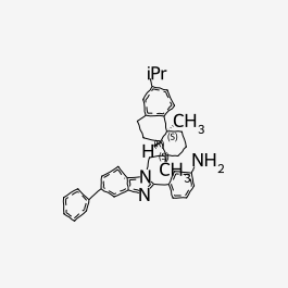 CC(C)c1ccc2c(c1)CC[C@H]1[C@@](C)(Cn3c(-c4cccc(N)c4)nc4cc(-c5ccccc5)ccc43)CCC[C@]21C